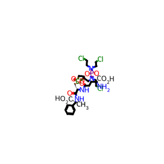 C[C@@](NC(=O)[C@H](CS(=O)(=O)CCOP(=O)(N(CCCl)CCCl)N(CCCl)CCCl)NC(=O)CCC(N)C(=O)O)(C(=O)O)c1ccccc1